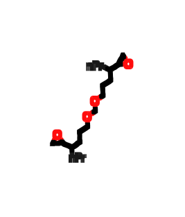 CCCC(CCCOCOCCCC(CCC)C1CO1)C1CO1